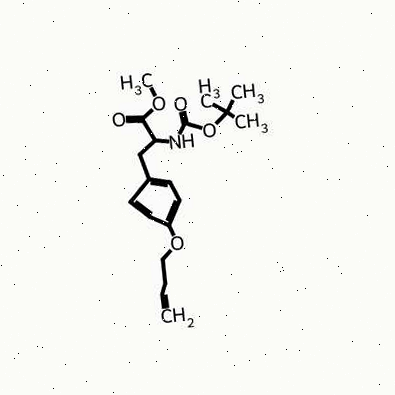 C=CCCOc1ccc(CC(NC(=O)OC(C)(C)C)C(=O)OC)cc1